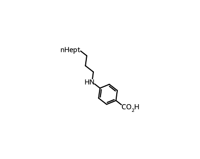 CCCCCCCCCCNc1ccc(C(=O)O)cc1